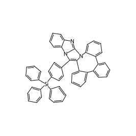 c1ccc([Si](c2ccccc2)(c2ccccc2)c2ccc(-c3c4n(c5nc6ccccc6n35)-c3ccccc3-c3ccccc3-c3ccccc3-4)cc2)cc1